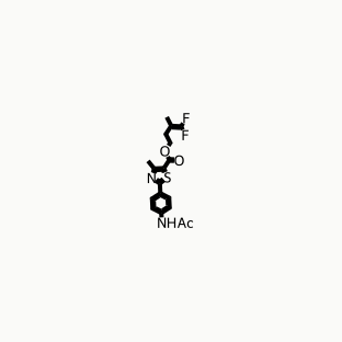 CC(=O)Nc1ccc(-c2nc(C)c(C(=O)OCCC(C)=C(F)F)s2)cc1